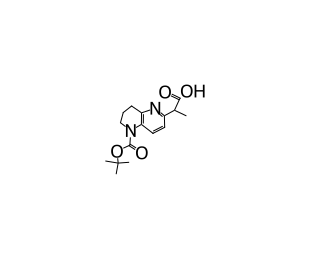 CC(C(=O)O)c1ccc2c(n1)CCCN2C(=O)OC(C)(C)C